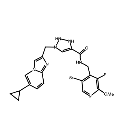 COc1ncc(Br)c(CNC(=O)C2=CN(Cc3cn4cc(C5CC5)ccc4n3)NN2)c1F